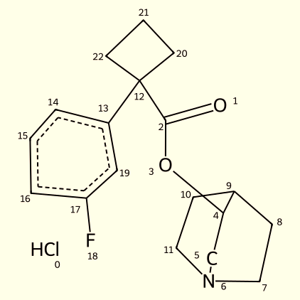 Cl.O=C(OC1CN2CCC1CC2)C1(c2cccc(F)c2)CCC1